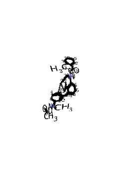 CC(=O)O/N=C(\C)c1ccc2c(c1)c1cccc3c1n2CC/C3=N\OC(=O)c1ccccc1C